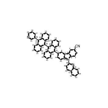 N#Cc1ccc2c(c1)c1cc(-c3c4ccccc4c(-c4c5ccccc5c(-c5cccnc5)c5ccccc45)c4ccccc34)ccc1n2-c1ccc2ccccc2n1